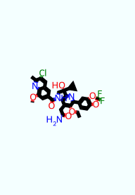 CCOc1c(CC(N)=O)cc([C@@](O)(CNC(=O)c2cc(OC)c3nc(C)c(Cl)cc3c2)C2CC2)nc1-c1ccc2c(c1)OC(F)(F)O2